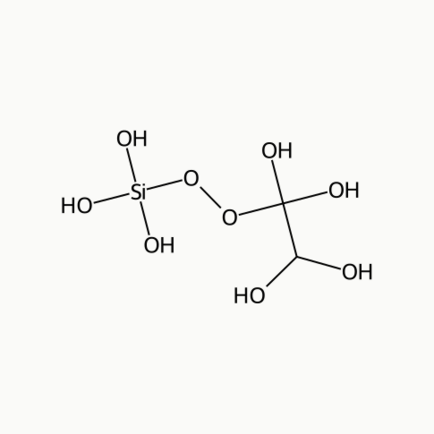 OC(O)C(O)(O)OO[Si](O)(O)O